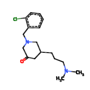 CN(C)CCCC1CC(=O)CN(Cc2ccccc2Cl)C1